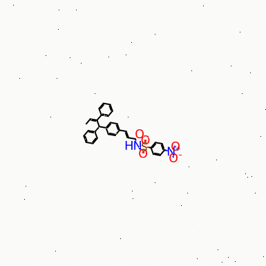 CC=C(c1ccccc1)C(c1ccccc1)c1ccc(C=CC(=O)NS(=O)(=O)c2ccc([N+](=O)[O-])cc2)cc1